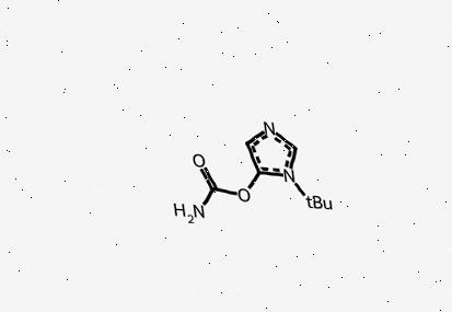 CC(C)(C)n1cncc1OC(N)=O